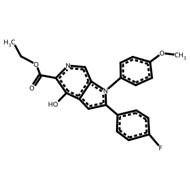 CCOC(=O)c1ncc2c(cc(-c3ccc(F)cc3)n2-c2ccc(OC)cc2)c1O